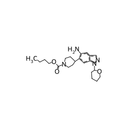 CCCCOC(=O)N1CCC(c2cc3c(cnn3C3CCCCO3)cc2N)CC1